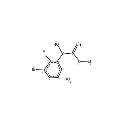 CCOC(=N)C(O)c1cccc(Br)c1F.Cl